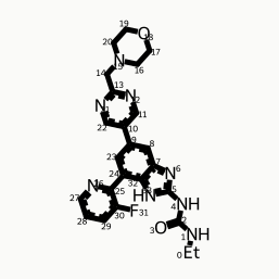 CCNC(=O)Nc1nc2cc(-c3cnc(CN4CCOCC4)nc3)cc(-c3ncccc3F)c2[nH]1